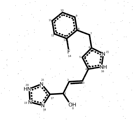 OC(C=Cc1cc(Cc2ccccc2F)n[nH]1)c1nn[nH]n1